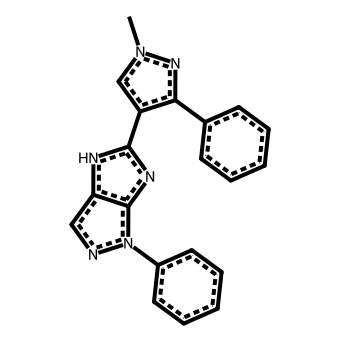 Cn1cc(-c2nc3c(cnn3-c3ccccc3)[nH]2)c(-c2ccccc2)n1